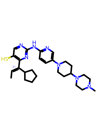 C/C=C(/c1nc(Nc2ccc(N3CCC(N4CCN(C)CC4)CC3)cn2)ncc1S)C1CCCC1